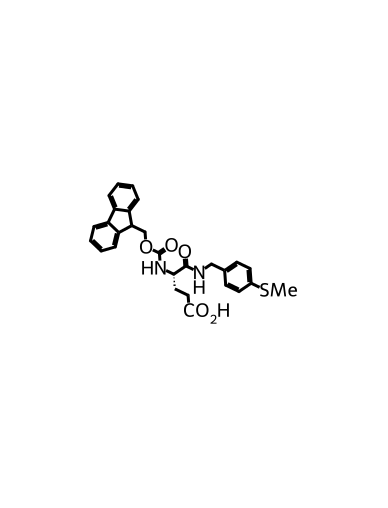 CSc1ccc(CNC(=O)[C@H](CCC(=O)O)NC(=O)OCC2c3ccccc3-c3ccccc32)cc1